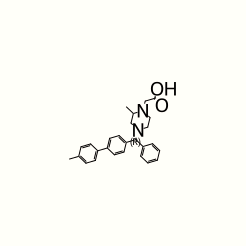 Cc1ccc(-c2ccc([C@@H](c3ccccc3)N3CCN(CC(=O)O)C(C)C3)cc2)cc1